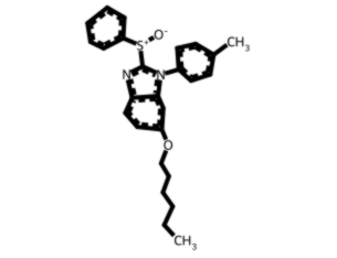 CCCCCCOc1ccc2nc([S+]([O-])c3ccccc3)n(-c3ccc(C)cc3)c2c1